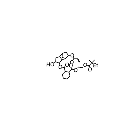 C=CC(=O)OC1CC2CC1C1C2CC(O)C1OC(=O)C1CCCCC1C(=O)OCCOC(=O)C(C)(C)CC